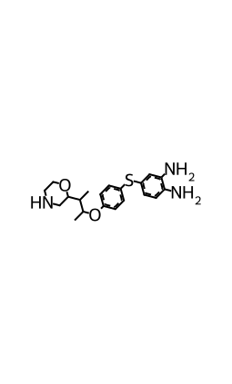 CC(Oc1ccc(Sc2ccc(N)c(N)c2)cc1)C(C)C1CNCCO1